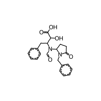 O=CN(C(Cc1ccccc1)C(O)C(=O)O)C1CCC(=O)N1Cc1ccccc1